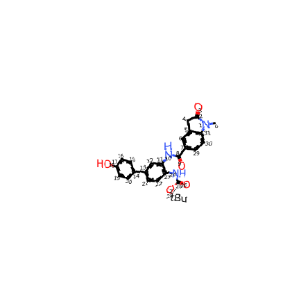 CN1C(=O)Cc2cc(C(=O)Nc3cc(-c4ccc(O)cc4)ccc3NC(=O)OC(C)(C)C)ccc21